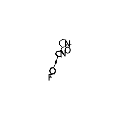 CN1CCCCC(c2ccc(C#Cc3ccc(F)cc3)cn2)C1=O